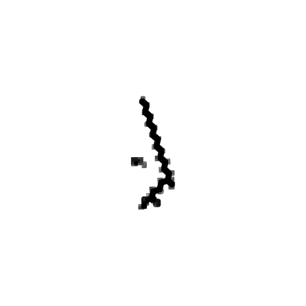 CCCCCCCCCCCCCCC(C)CCCC(=O)OC.N